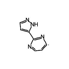 [c]1ccnc(-c2ccn[nH]2)n1